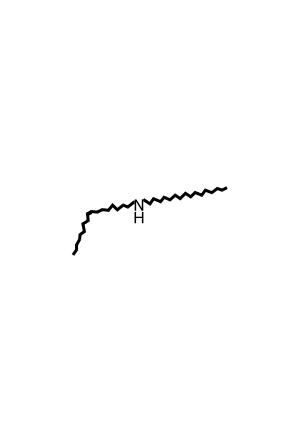 CCCCCCCC/C=C\CCCCCCCCNCCCCCCCCCCCCCCCCC